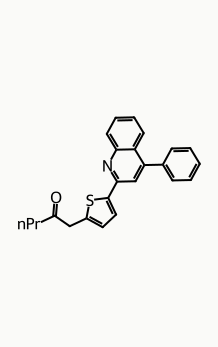 CCCC(=O)Cc1ccc(-c2cc(-c3ccccc3)c3ccccc3n2)s1